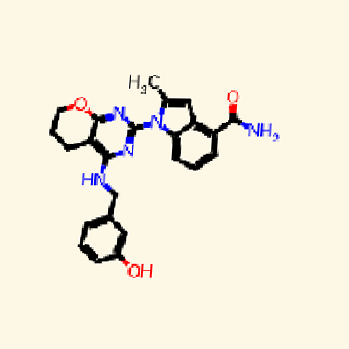 Cc1cc2c(C(N)=O)cccc2n1-c1nc(NCc2cccc(O)c2)c2c(n1)OCCC2